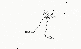 CCCCCCCC/C=C\CCCCCCCCOC(OCCCCCCCC/C=C\CCCCCCCC)(OP(=O)(O)O)C(F)(F)CC